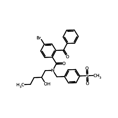 CCCC(O)CN(Cc1ccc(S(C)(=O)=O)cc1)C(=O)c1ccc(Br)cc1C(=O)c1ccccc1